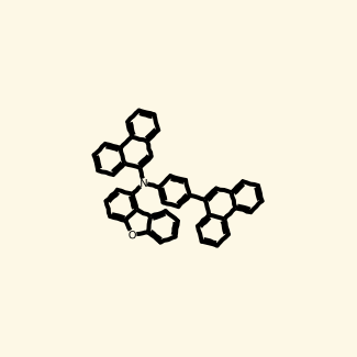 c1ccc2c(c1)cc(-c1ccc(N(c3cc4ccccc4c4ccccc34)c3cccc4oc5ccccc5c34)cc1)c1ccccc12